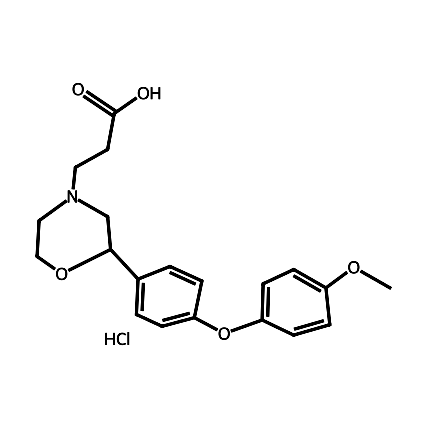 COc1ccc(Oc2ccc(C3CN(CCC(=O)O)CCO3)cc2)cc1.Cl